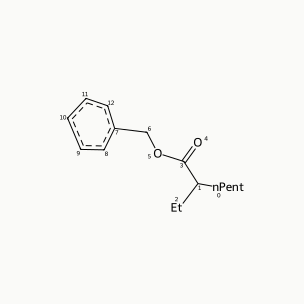 CCCCCC(CC)C(=O)OCc1ccccc1